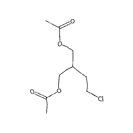 CC(=O)OCC(CCCl)COC(C)=O